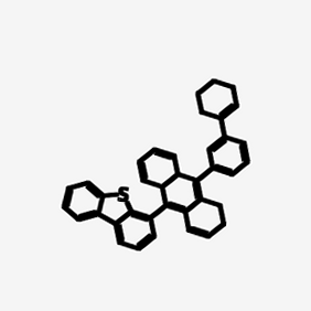 C1=CC2C(c3cccc(C4=CCCCC4)c3)=C3CCC=CC3=C(c3cccc4c3sc3ccccc34)C2C=C1